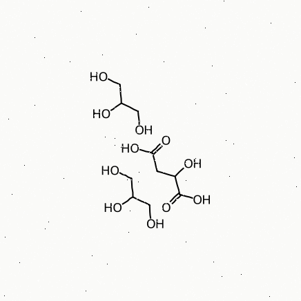 O=C(O)CC(O)C(=O)O.OCC(O)CO.OCC(O)CO